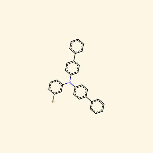 Brc1cccc(N(c2ccc(-c3ccccc3)cc2)c2ccc(-c3ccccc3)cc2)c1